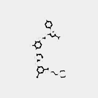 C#Cc1cc(Nc2nccc(Oc3ccc(NC(=O)Nc4cc(C(C)C)nn4-c4ccc(C)cc4)c(F)c3F)n2)cc(C(=O)NCCN2CCOCC2)c1